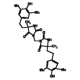 CC1(CCc2cc(C(C)(C)C)c(O)c(C(C)(C)C)c2)NC(=O)N(CN2C(=O)NC(C)(CCc3cc(C(C)(C)C)c(O)c(C(C)(C)C)c3)C2=O)C1=O